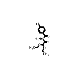 CCOC(OCC)C(=O)N(N)C(=O)c1ccc(Cl)cc1